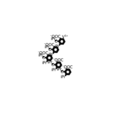 CC(C)Oc1c(C(=O)[O-])cccc1C(C)C.CC(C)Oc1c(C(=O)[O-])cccc1C(C)C.CC(C)Oc1c(C(=O)[O-])cccc1C(C)C.CC(C)Oc1c(C(=O)[O-])cccc1C(C)C.CC(C)Oc1c(C(=O)[O-])cccc1C(C)C.[V+5]